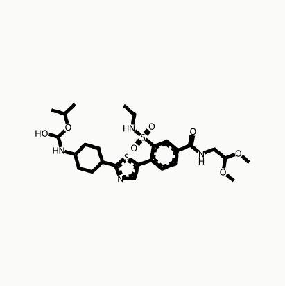 CCNS(=O)(=O)c1cc(C(=O)NCC(OC)OC)ccc1-c1cnc(C2CCC(NC(O)OC(C)C)CC2)s1